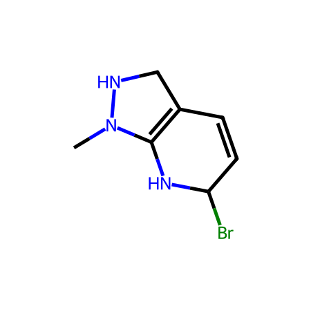 CN1NCC2=C1NC(Br)C=C2